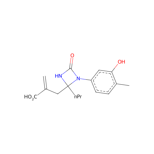 C=C(CC1(CCC)NC(=O)N1c1ccc(C)c(O)c1)C(=O)O